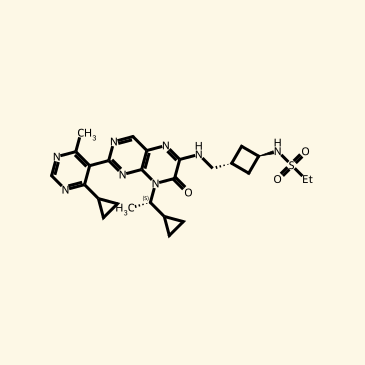 CCS(=O)(=O)N[C@H]1C[C@H](CNc2nc3cnc(-c4c(C)ncnc4C4CC4)nc3n([C@@H](C)C3CC3)c2=O)C1